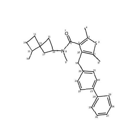 Cc1sc(C)c(C(=O)N(C)C2CC3(CCC3C)C2)c1Cc1ccc(-c2ccccc2)cc1